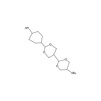 CCCCC1COC(C2COC(C3CCC(CCC)CC3)OC2)OC1